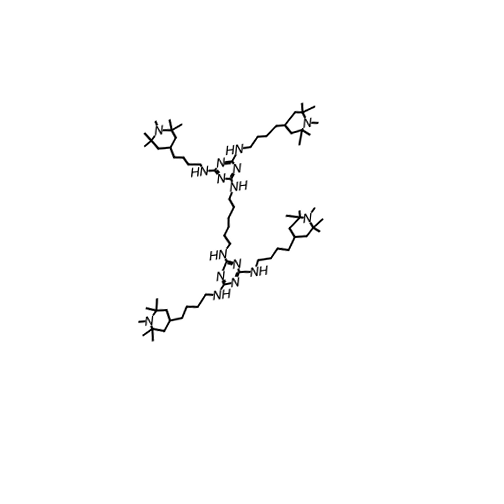 CN1C(C)(C)CC(CCCCNc2nc(NCCCCCCNc3nc(NCCCCC4CC(C)(C)N(C)C(C)(C)C4)nc(NCCCCC4CC(C)(C)N(C)C(C)(C)C4)n3)nc(NCCCCC3CC(C)(C)N(C)C(C)(C)C3)n2)CC1(C)C